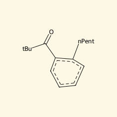 CCCCCc1ccccc1C(=O)C(C)(C)C